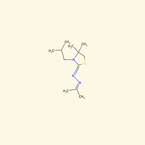 CC(C)=N/N=C1\SCC(C)(C)N1CC(C)C